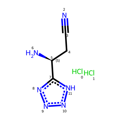 Cl.Cl.N#CC[C@H](N)c1nnn[nH]1